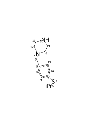 CC(C)Sc1ccc(CN2CCNCC2)cc1